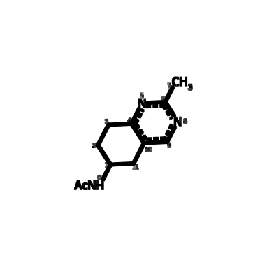 CC(=O)NC1CCc2nc(C)ncc2C1